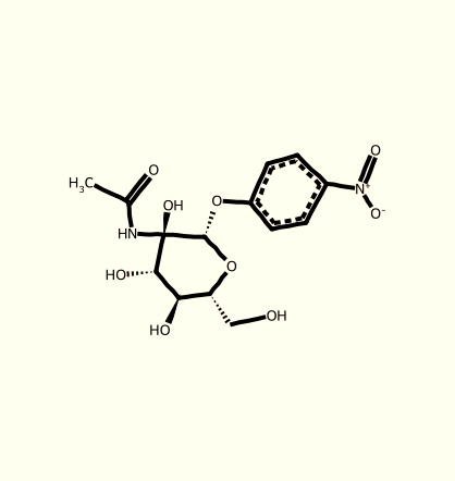 CC(=O)N[C@]1(O)[C@H](Oc2ccc([N+](=O)[O-])cc2)O[C@H](CO)[C@@H](O)[C@@H]1O